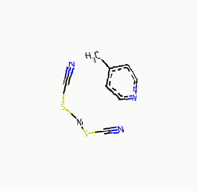 Cc1ccncc1.N#C[S][Ni][S]C#N